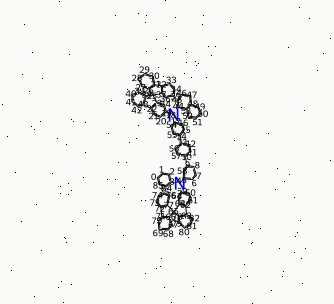 c1ccc(N(c2cccc(-c3ccc(-c4ccc(N(c5ccc6c(c5)C5(c7ccccc7-c7ccccc75)c5ccccc5-6)c5cccc6ccccc56)cc4)cc3)c2)c2ccc3c(c2)C2(c4ccccc4-c4ccccc42)c2ccccc2-3)cc1